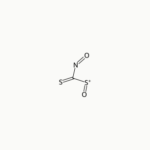 O=NC(=S)[S+]=O